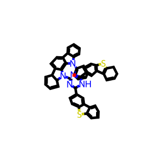 C1=CC2c3ccc4c5ccccc5n(-c5ccccc5)c4c3N(C3=NC(c4ccc5sc6ccccc6c5c4)NC(c4ccc5sc6c(c5c4)C=CCC6)=N3)C2C=C1